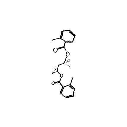 Cc1ccccc1C(=O)O[C@H](C)C[C@H](C)OC(=O)c1ccccc1C